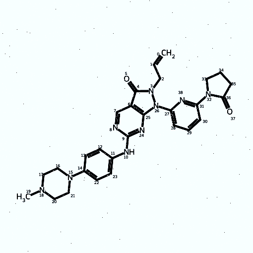 C=CCn1c(=O)c2cnc(Nc3ccc(N4CCN(C)CC4)cc3)nc2n1-c1cccc(N2CCCC2=O)n1